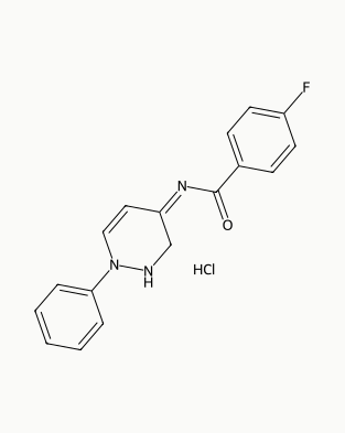 Cl.O=C(N=C1C=CN(c2ccccc2)NC1)c1ccc(F)cc1